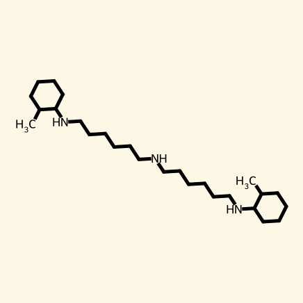 CC1CCCCC1NCCCCCCNCCCCCCNC1CCCCC1C